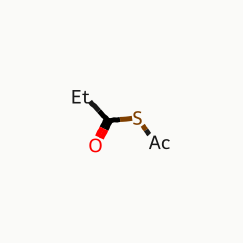 CCC(=O)SC(C)=O